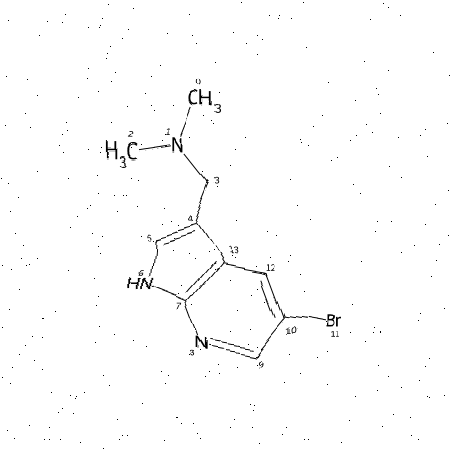 CN(C)Cc1c[nH]c2ncc(Br)cc12